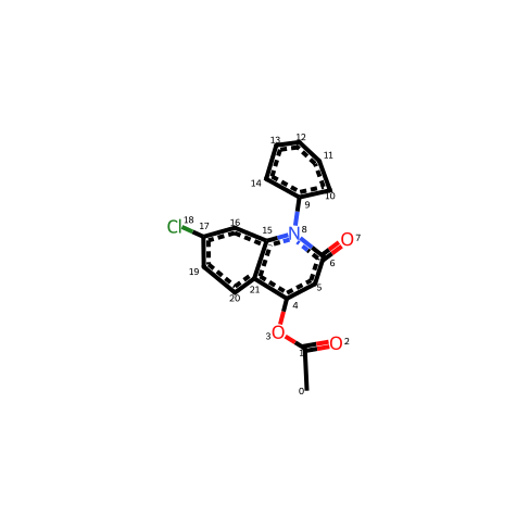 CC(=O)Oc1cc(=O)n(-c2ccccc2)c2cc(Cl)ccc12